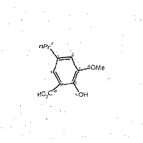 CCCc1cc(OC)c(O)c(C(=O)O)c1